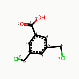 O=C(O)c1cc(CCl)cc(CCl)c1